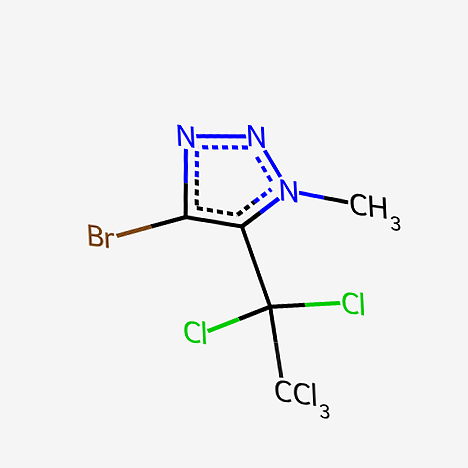 Cn1nnc(Br)c1C(Cl)(Cl)C(Cl)(Cl)Cl